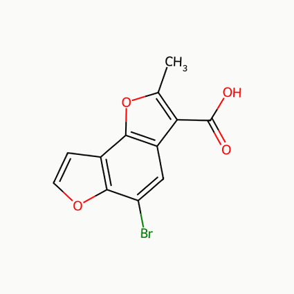 Cc1oc2c(cc(Br)c3occc32)c1C(=O)O